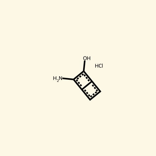 Cl.Nc1c2ccc-2c1O